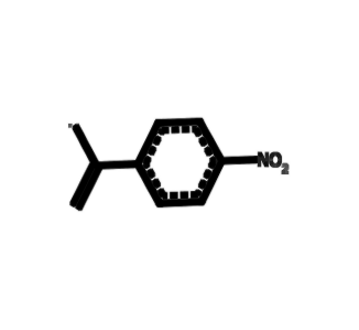 [CH2]C(=C)c1ccc([N+](=O)[O-])cc1